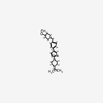 COC1CCN(Cc2ccc(-c3ccc(N4CCN(C(C)C)CC4)nc3)cc2)CC1